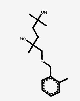 Cc1ccccc1COCC(C)(O)CCC(C)(C)O